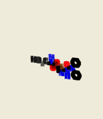 O=C(O)CNS(=O)(=O)c1cnc(NC(=O)N(C2CCCCC2)C2CCCCC2)s1